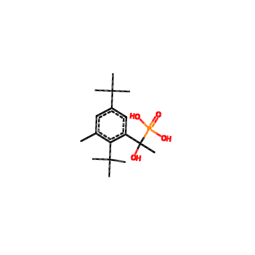 Cc1cc(C(C)(C)C)cc(C(C)(O)P(=O)(O)O)c1C(C)(C)C